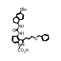 CC(C)(C)c1ccc2c(c1)CCC2NC(=O)Nc1cccc2c1c(CCCOCc1ccccc1)nn2C(=O)O